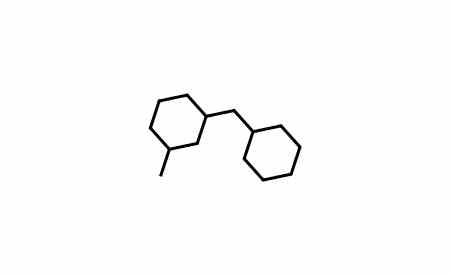 CC1CCC[C](CC2CCCCC2)C1